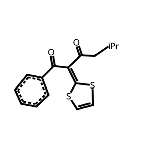 CC(C)CC(=O)C(C(=O)c1ccccc1)=C1SC=CS1